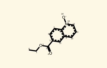 CCOC(=O)c1ccc2c(ccc[n+]2[O-])c1